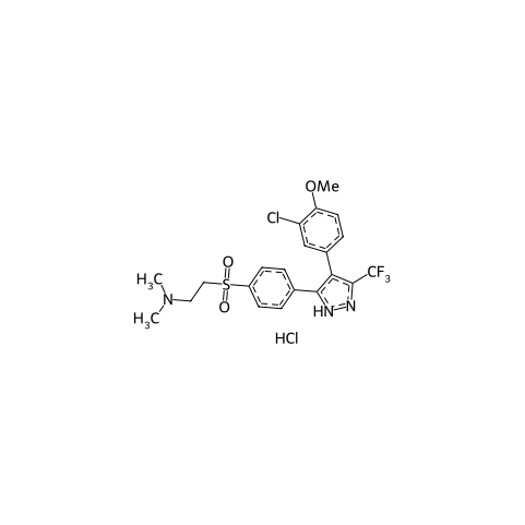 COc1ccc(-c2c(C(F)(F)F)n[nH]c2-c2ccc(S(=O)(=O)CCN(C)C)cc2)cc1Cl.Cl